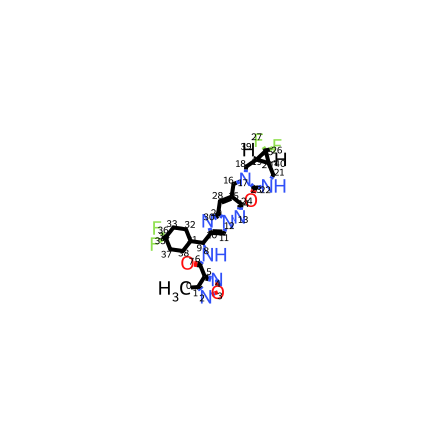 Cc1nonc1C(=O)N[C@H](c1cn2ncc(CN3C[C@@H]4[C@H](CNC3=O)C4(F)F)cc2n1)C1CCC(F)(F)CC1